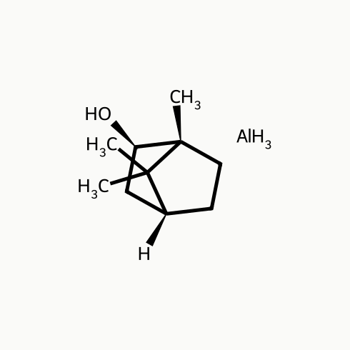 CC1(C)[C@@H]2CC[C@@]1(C)[C@H](O)C2.[AlH3]